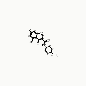 C[C@H]1CC[C@H](NC(=O)c2cnc3cc(F)cc(F)c3c2Cl)CC1